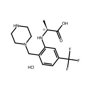 C[C@H](Nc1cc(C(F)(F)F)ccc1CN1CCNCC1)C(=O)O.Cl